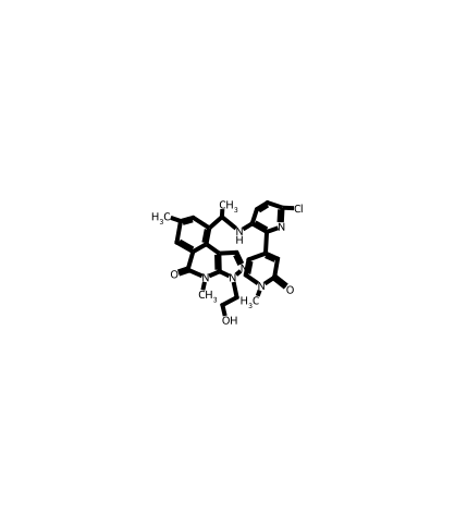 Cc1cc(C(C)Nc2ccc(Cl)nc2-c2ccn(C)c(=O)c2)c2c(c1)c(=O)n(C)c1c2cnn1CCO